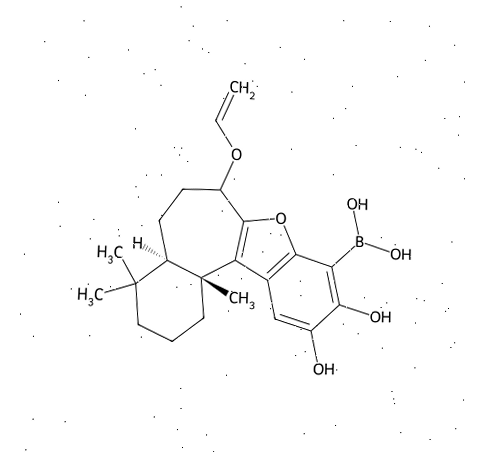 C=COC1CC[C@@H]2C(C)(C)CCC[C@@]2(C)c2c1oc1c(B(O)O)c(O)c(O)cc21